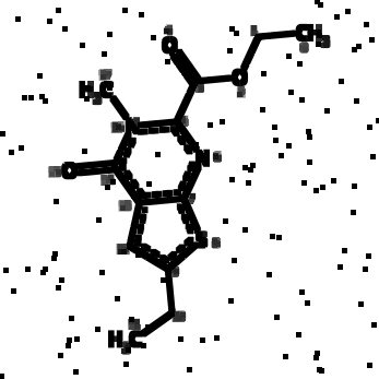 CCOC(=O)c1nc2sc(CC)cc2c(=O)n1C